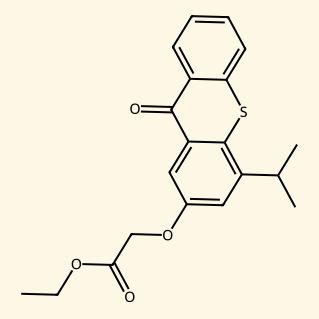 CCOC(=O)COc1cc(C(C)C)c2sc3ccccc3c(=O)c2c1